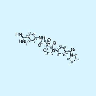 N=C1NCc2cc(NC(=O)[C@H](O)[C@H]3OCCN(c4ccc(C(=O)N5CCCC5)cc4)C3=O)ccc21